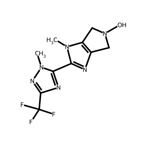 Cn1nc(C(F)(F)F)nc1-c1nc2c(n1C)CN(O)C2